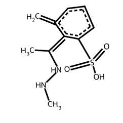 C=c1cccc(S(=O)(=O)O)/c1=C(/C)NNC